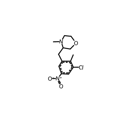 Cc1c(Cl)cc([N+](=O)[O-])cc1CC1COCCN1C